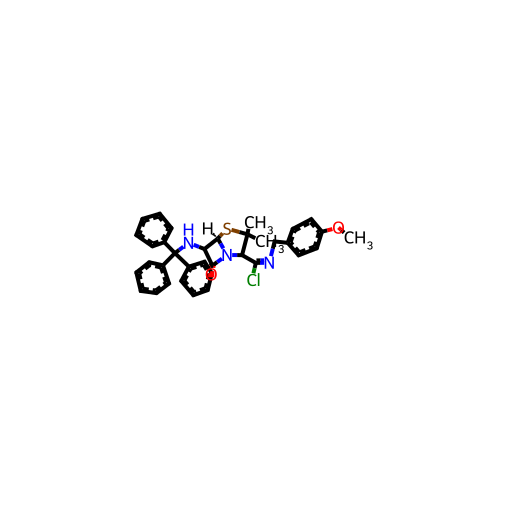 COc1ccc(C/N=C(/Cl)C2N3C(=O)C(NC(c4ccccc4)(c4ccccc4)c4ccccc4)[C@H]3SC2(C)C)cc1